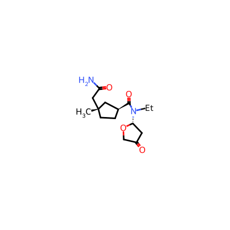 CCN(C(=O)[C@H]1CC[C@](C)(CC(N)=O)C1)[C@@H]1CC(=O)CO1